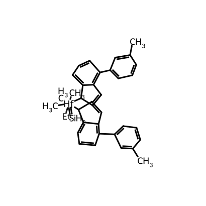 C[CH2][Hf]([CH3])([CH3])([CH3])(=[SiH2])([CH]1C=Cc2c(-c3cccc(C)c3)cccc21)[CH]1C=Cc2c(-c3cccc(C)c3)cccc21